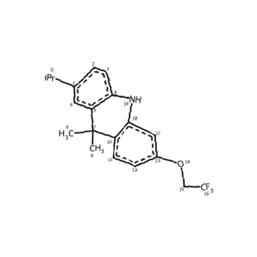 CC(C)c1ccc2c(c1)C(C)(C)c1ccc(OCC(F)(F)F)cc1N2